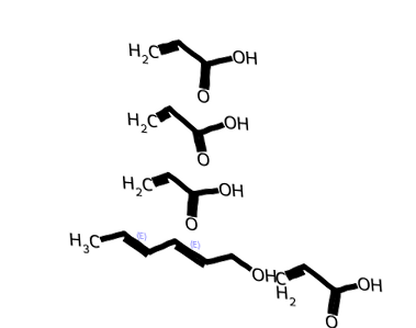 C/C=C/C=C/CO.C=CC(=O)O.C=CC(=O)O.C=CC(=O)O.C=CC(=O)O